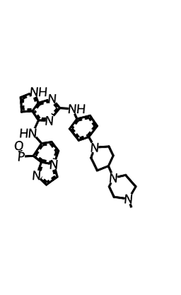 CN1CCN(C2CCN(c3ccc(Nc4nc(Nc5ccn6ccnc6c5P=O)c5cc[nH]c5n4)cc3)CC2)CC1